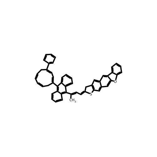 C/C(=C\C=C1/Cc2cc3cc4c(cc3cc2S1)oc1ccccc14)c1c2ccccc2c(/C2=C/C=C(/c3ccccc3)C/C=C\C=C/C2)c2ccccc12